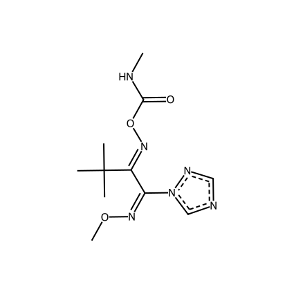 CNC(=O)ON=C(C(=NOC)n1cncn1)C(C)(C)C